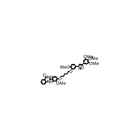 COc1cc(C2NC(=O)c3ccccc3N2)ccc1OCCCCCOc1cc(-c2cc(-c3cc(OC)c(OC)c(OC)c3)on2)ccc1OC